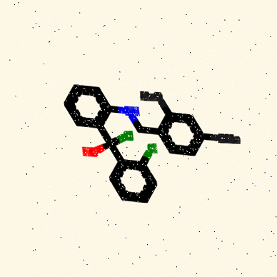 COc1ccc(CNc2ccccc2[C@](O)(Cl)c2ccccc2Cl)c(OC)c1